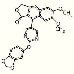 COc1cc2cc3c(c(-c4cnc(Oc5ccc6c(c5)OCO6)nc4)c2cc1OC)C(=O)OC3